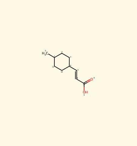 CC1CCC(C=CC(=O)O)CC1